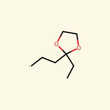 [CH2]CCC1(CC)OCCO1